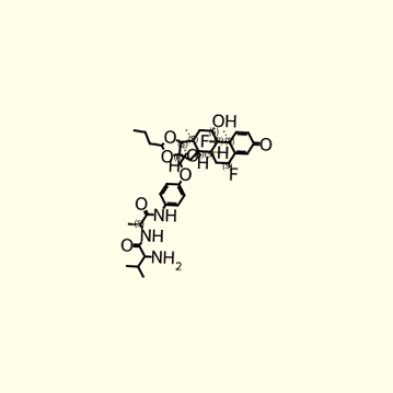 CCCC1O[C@@H]2C[C@H]3[C@@H]4C[C@H](F)C5=CC(=O)C=C[C@]5(C)[C@@]4(F)[C@@H](O)C[C@]3(C)[C@]2(C(=O)COc2ccc(NC(=O)[C@H](C)NC(=O)C(N)C(C)C)cc2)O1